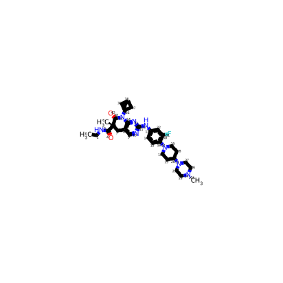 CCNC(=O)[C@@]1(C)Cc2cnc(Nc3ccc(N4CCC(N5CCN(C)CC5)CC4)c(F)c3)nc2N(C23CC(C2)C3)C1=O